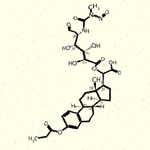 CCC(=O)Oc1ccc2c(c1)CC[C@@H]1[C@@H]2CC[C@]2(C)[C@@H](C(OC(=O)[C@@H](O)[C@@H](O)[C@H](O)[C@H](C=O)NC(=O)N(C)N=O)C(=O)O)CC[C@@H]12